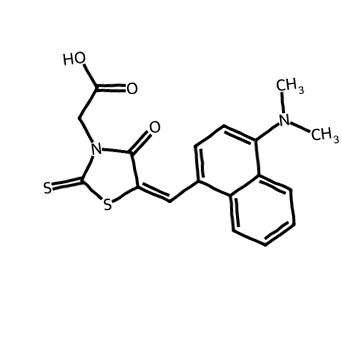 CN(C)c1ccc(/C=C2/SC(=S)N(CC(=O)O)C2=O)c2ccccc12